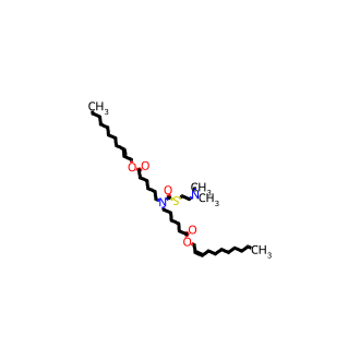 CCCCCCCC/C=C\COC(=O)CCCCCN(CCCCCC(=O)OC/C=C/CCCCCCCC)C(=O)SCCN(C)C